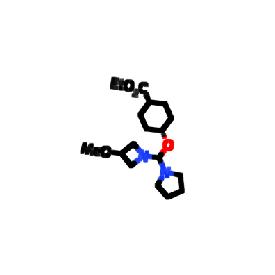 CCOC(=O)[C@H]1CC[C@H](OC(N2CCCC2)N2CC(OC)C2)CC1